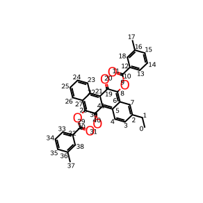 CCc1ccc2c(c1)=C(OC(=O)c1cccc(C)c1)C(=O)C1=c3ccccc3=C(OC(=O)c3cccc(C)c3)C(=O)C=21